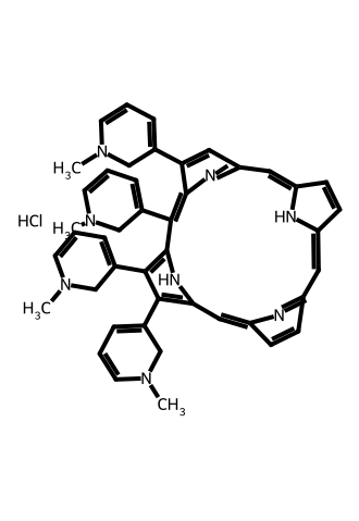 CN1C=CC=C(C2=Cc3cc4ccc(cc5nc(cc6[nH]c(c(C7=CC=CN(C)C7)c2n3)c(C2=CC=CN(C)C2)c6C2=CC=CN(C)C2)C=C5)[nH]4)C1.Cl